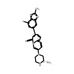 Cc1nc2c(F)cc(C3=C\C(=O)N4C=C(N5CCN[C@@H](C)C5)C=C\C4=C/C=C/3)cc2o1